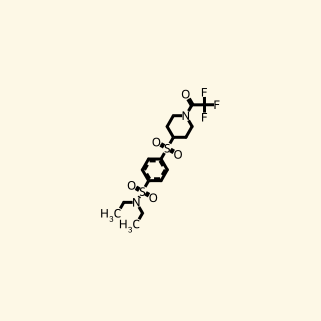 CCN(CC)S(=O)(=O)c1ccc(S(=O)(=O)C2CCN(C(=O)C(F)(F)F)CC2)cc1